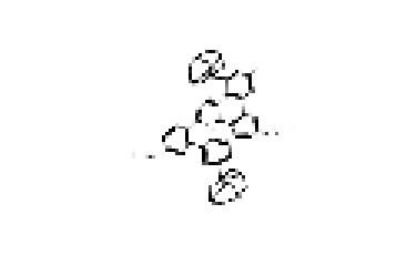 CCCCOc1ccc(-c2cccc(-c3ccc(OCCCC)cc3-c3cc(C)cc(C45CC6CC(CC(C6)C4)C5)c3O)n2)c(-c2cc(C)cc(C34CC5CC(CC(C5)C3)C4)c2O)c1